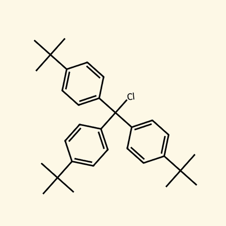 CC(C)(C)c1ccc(C(Cl)(c2ccc(C(C)(C)C)cc2)c2ccc(C(C)(C)C)cc2)cc1